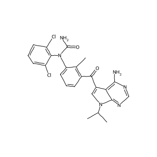 Cc1c(C(=O)c2cn(C(C)C)c3ncnc(N)c23)cccc1N(C(N)=O)c1c(Cl)cccc1Cl